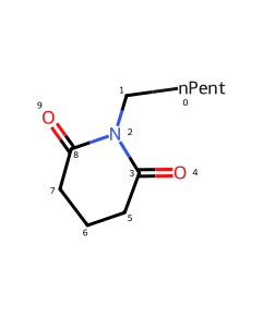 CCCCCCN1C(=O)CCCC1=O